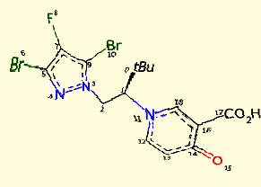 CC(C)(C)[C@H](Cn1nc(Br)c(F)c1Br)n1ccc(=O)c(C(=O)O)c1